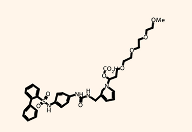 COCCOCCOCCOCCC(OC(=O)O)N1C=CC=C(CNC(=O)Nc2ccc(NS(=O)(=O)c3ccccc3-c3ccccc3)cc2)C1